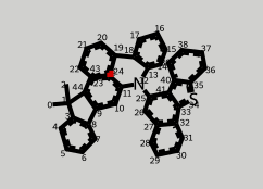 CC1(C)c2ccccc2-c2cc(N(c3ccccc3-c3ccccc3)c3cc4ccccc4c4sc5ccccc5c34)ccc21